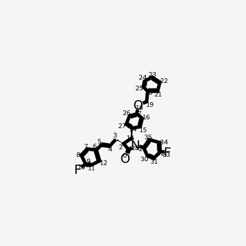 O=C1[C@H](CC=Cc2ccc(F)cc2)[C@@H](c2ccc(OCc3ccccc3)cc2)N1c1ccc(F)cc1